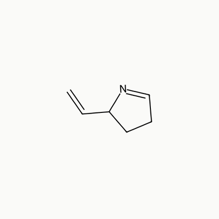 C=CC1CCC=N1